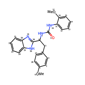 COc1ccc(CC(NC(=O)Nc2ccccc2OC)c2nc3ccccc3[nH]2)cc1